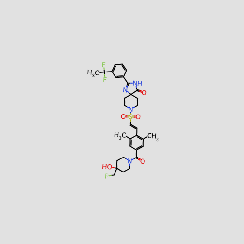 Cc1cc(C(=O)N2CCC(O)(CF)CC2)cc(C)c1C=CS(=O)(=O)N1CCC2(CC1)N=C(c1cccc(C(C)(F)F)c1)NC2=O